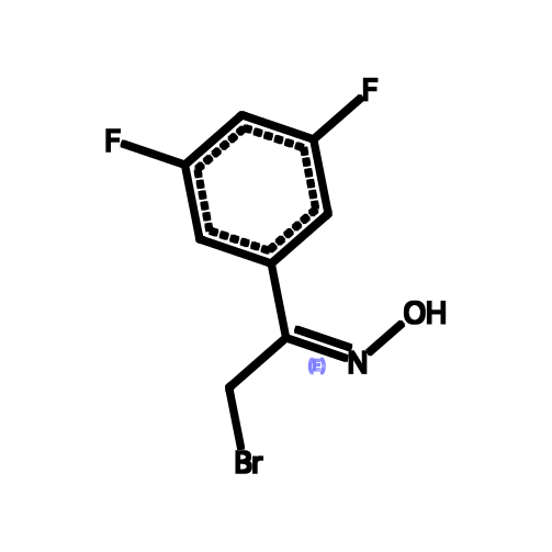 O/N=C(/CBr)c1cc(F)cc(F)c1